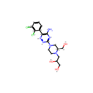 Nc1nc(N2CCN(CC(O)CO)[C@H](CO)C2)nnc1-c1cccc(Cl)c1Cl